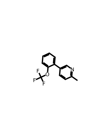 Cc1ccc(-c2ccccc2OC(F)(F)F)cn1